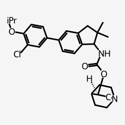 CC(C)Oc1ccc(-c2ccc3c(c2)CC(C)(C)C3NC(=O)O[C@H]2CN3CCC2CC3)cc1Cl